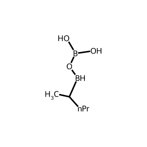 CCCC(C)BOB(O)O